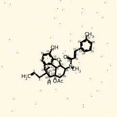 C=CCN1CC[C@]23c4c5ccc(O)c4OC2C(N(C)C(=O)/C=C/c2cccc(C)c2)CC[C@@]3(OC(C)=O)[C@H]1C5